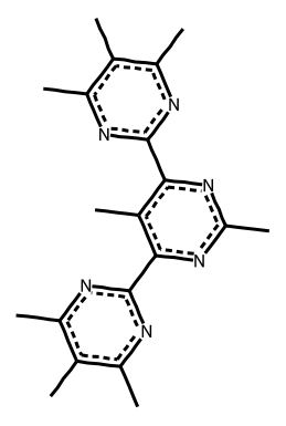 Cc1nc(-c2nc(C)c(C)c(C)n2)c(C)c(-c2nc(C)c(C)c(C)n2)n1